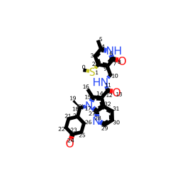 CSc1cc(C)[nH]c(=O)c1CNC(=O)c1c(C)n([C@H](C)C2CCC(=O)CC2)c2ncccc12